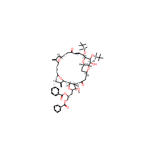 C=C1C[C@@H]2CCC(=O)/C=C/C(O[Si](C)(C)C(C)(C)C)[C@@H]3O[C@H]4CC[C@H](CC(=O)C[C@H]5[C@H](CC6OC(CCC1O2)C[C@@H](C)C6=C)OC(C[C@@H](COC(=O)c1ccccc1)OC(=O)c1ccccc1)[C@@H]5OC)O[C@@H]4[C@H](O)C3O[Si](C)(C)C(C)(C)C